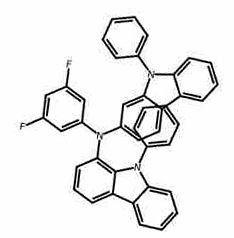 Fc1cc(F)cc(N(c2ccc3c4ccccc4n(-c4ccccc4)c3c2)c2cccc3c4ccccc4n(-c4ccccc4)c23)c1